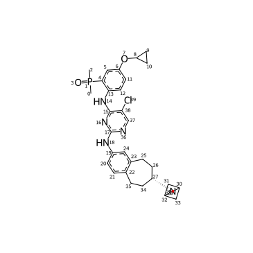 CP(C)(=O)c1cc(OC2CC2)ccc1Nc1nc(Nc2ccc3c(c2)CC[C@H](N2CC4CC2C4)CC3)ncc1Cl